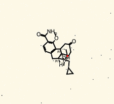 COc1c(C(N)=O)ccc2c1[C@]13CC[N+](C)(CC4CC4)[C@H](C2)[C@]1(O)CCC(=O)C3